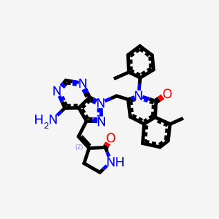 Cc1ccccc1-n1c(Cn2nc(/C=C3/CCNC3=O)c3c(N)ncnc32)cc2cccc(C)c2c1=O